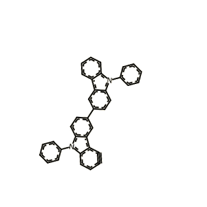 c1ccc2c(c#1)c1cc(-c3ccc4c(c3)c3ccccc3n4-c3ccccc3)ccc1n2-c1ccccc1